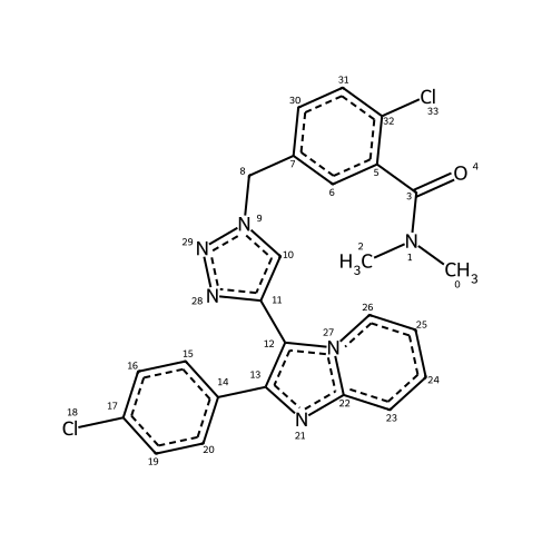 CN(C)C(=O)c1cc(Cn2cc(-c3c(-c4ccc(Cl)cc4)nc4ccccn34)nn2)ccc1Cl